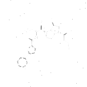 CC(C)CCC(=O)N1CC(=O)C2C1CCN2C(=O)C(CC(C)C)NC(=O)c1ccc(-c2ccccc2)s1